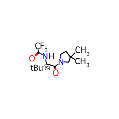 CC1(C)CCN(C(=O)[C@@H](NC(=O)C(F)(F)F)C(C)(C)C)C1